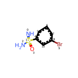 N=S(N)(=O)c1cccc(Br)c1